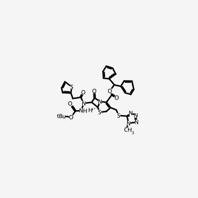 Cn1nnnc1SCC1=C(C(=O)OC(c2ccccc2)c2ccccc2)N2C(=O)C(N(NC(=O)OC(C)(C)C)C(=O)Cc3cccs3)[C@@H]2SC1